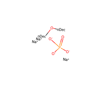 CCCCCCCCCCOCCCCCCCCCC.O=P([O-])([O-])[O-].[Na+].[Na+].[Na+]